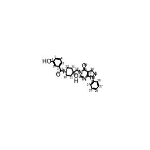 O=C(c1cccc(O)c1)N1CCC(O)(Cn2cnc3c(cnn3-c3ccccc3)c2=O)CC1